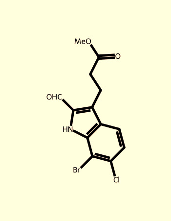 COC(=O)CCc1c(C=O)[nH]c2c(Br)c(Cl)ccc12